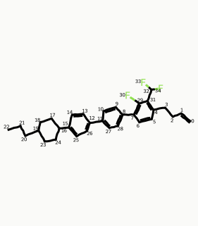 C=CCCc1ccc(-c2ccc(-c3ccc(C4CCC(CCC)CC4)cc3)cc2)c(F)c1C(F)F